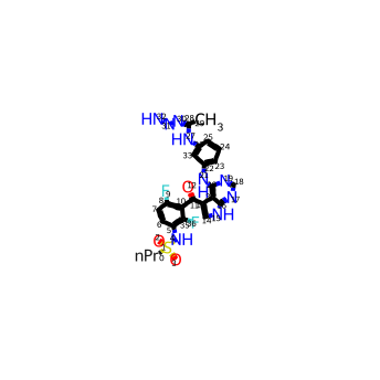 CCCS(=O)(=O)Nc1ccc(F)c(C(=O)c2c[nH]c3ncnc(Nc4cccc(N/C(C)=N\N=N)c4)c23)c1F